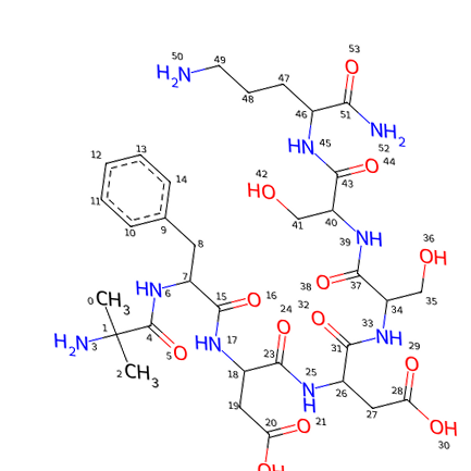 CC(C)(N)C(=O)NC(Cc1ccccc1)C(=O)NC(CC(=O)O)C(=O)NC(CC(=O)O)C(=O)NC(CO)C(=O)NC(CO)C(=O)NC(CCCN)C(N)=O